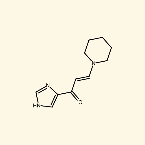 O=C(C=CN1CCCCC1)c1c[nH]cn1